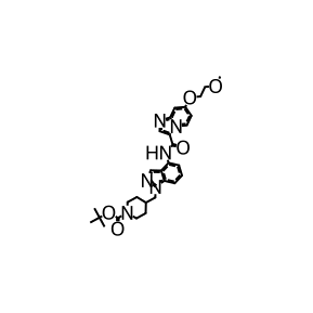 COCCOc1ccn2c(C(=O)Nc3cccc4c3cnn4CC3CCN(C(=O)OC(C)(C)C)CC3)cnc2c1